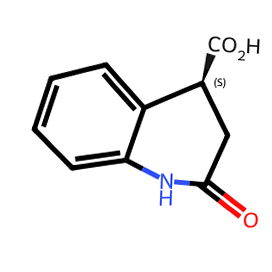 O=C1C[C@H](C(=O)O)c2ccccc2N1